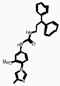 COc1cc(NC(=O)NCCC(c2ccccc2)c2ccccc2)ccc1-n1cnc(C)c1